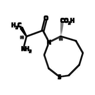 C[C@H](N)C(=O)N1CCSCCCC[C@H]1C(=O)O